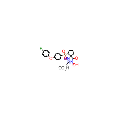 O=C(O)CCNC1(C(=O)NO)CCCC1S(=O)(=O)c1ccc(Oc2ccc(F)cc2)cc1